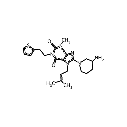 CC(C)=CCn1c(N2CCCC(N)C2)nc2c1c(=O)n(CCc1cccs1)c(=O)n2C